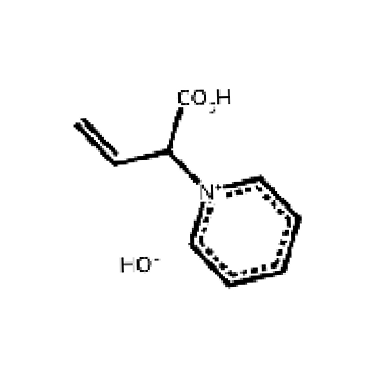 C=CC(C(=O)O)[n+]1ccccc1.[OH-]